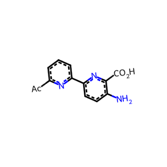 CC(=O)c1cccc(-c2ccc(N)c(C(=O)O)n2)n1